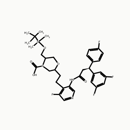 CC(C)(C)[Si](C)(C)OCC1COC(CCc2c(F)cncc2NC(=O)C[C@@H](c2ccc(F)cc2)c2cc(F)cc(F)c2)CN1C(=O)O